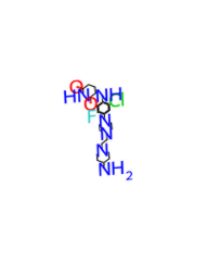 NC1CCN(CCN2CCN(c3cc(Cl)c(NC4CCC(=O)NC4=O)cc3F)CC2)CC1